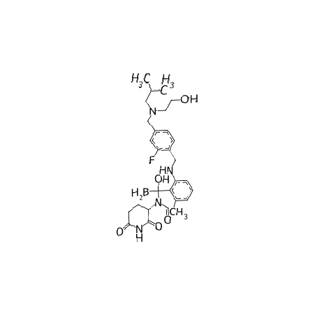 BC(O)(c1c(C)cccc1NCc1ccc(CN(CCO)CC(C)C)cc1F)N(C=O)C1CCC(=O)NC1=O